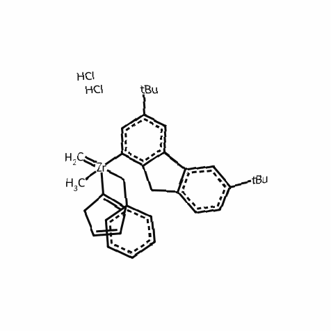 Cl.Cl.[CH2]=[Zr]([CH3])([CH2]c1ccccc1)([C]1=CC=CC1)[c]1cc(C(C)(C)C)cc2c1Cc1ccc(C(C)(C)C)cc1-2